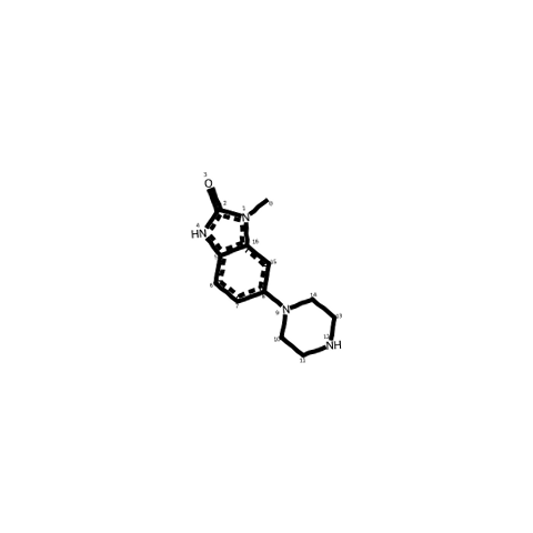 Cn1c(=O)[nH]c2ccc(N3CCNCC3)cc21